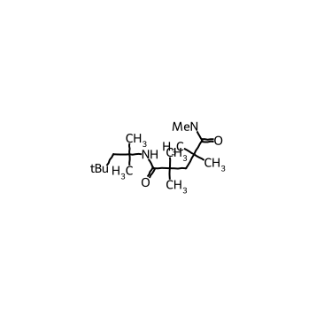 CNC(=O)C(C)(C)CC(C)(C)C(=O)NC(C)(C)CC(C)(C)C